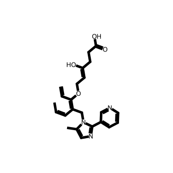 C=C/C(OC/C=C(\O)CCC(=O)O)=C(\C=C/C)Cn1c(C)cnc1-c1cccnc1